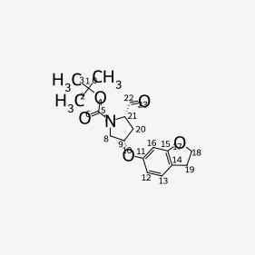 CC(C)(C)OC(=O)N1C[C@@H](Oc2ccc3c(c2)OCC3)C[C@H]1C=O